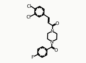 O=C(C=Cc1ccc(Cl)c(Cl)c1)N1CCN(C(=O)c2ccc(F)cc2)CC1